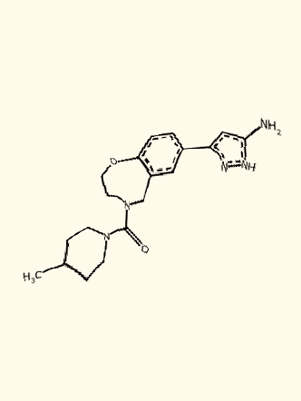 CC1CCN(C(=O)N2CCOc3ccc(-c4cc(N)[nH]n4)cc3C2)CC1